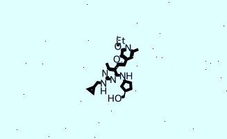 CCOc1nc(C)cc2cc(-c3c(C)nc(NCC4CC4)nc3NC3CC[C@@H](CO)C3)oc12